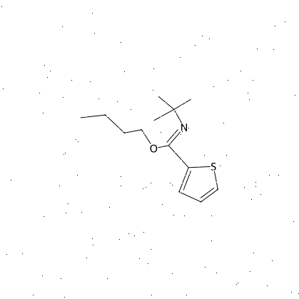 CCCCOC(=NC(C)(C)C)c1cccs1